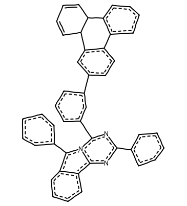 C1=CC2c3ccccc3-c3ccc(-c4cccc(-c5nc(-c6ccccc6)nc6c7ccccc7c(-c7ccccc7)n56)c4)cc3C2C=C1